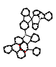 c1ccc(-c2ccccc2-c2ccccc2N(c2ccc3c(c2)C2(c4ccccc4-3)c3ccccc3-n3c4ccccc4c4cccc2c43)c2ccc3c4ccccc4c4ccccc4c3c2)cc1